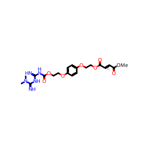 COC(=O)/C=C/C(=O)OCCOc1ccc(OCCOC(=O)NC(=N)NC(=N)N(C)C)cc1